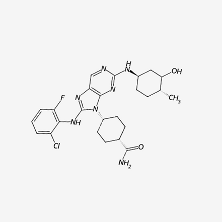 C[C@@H]1CC[C@@H](Nc2ncc3nc(Nc4c(F)cccc4Cl)n([C@H]4CC[C@@H](C(N)=O)CC4)c3n2)CC1O